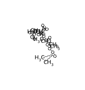 CCCCCCCC1(CCCCCCC)c2ccccc2-c2ccc(-c3ccc4c(c3)C(C)(C)c3cc(-c5cc6c(c7c5oc5ccccc57)-c5ccc(N(c7ccc8c(c7)C(C)(C)c7c9c(c%10oc%11ccccc%11c%10c7-8)-c7ccccc7C9(C)C)c7ccc8c(c7)c7ccccc7n8-c7ccccc7)cc5C6(C)C)ccc3-4)cc21